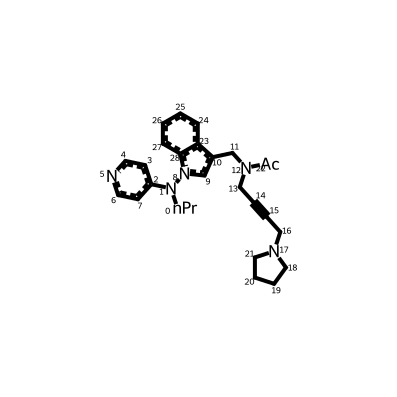 CCCN(c1ccncc1)n1cc(CN(CC#CCN2CCCC2)C(C)=O)c2ccccc21